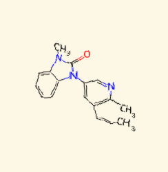 C/C=C\c1cc(-n2c(=O)n(C)c3ccccc32)cnc1C